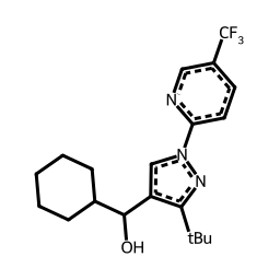 CC(C)(C)c1nn(-c2ccc(C(F)(F)F)cn2)cc1C(O)C1CCCCC1